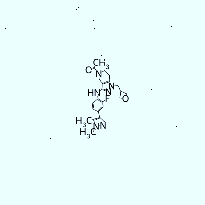 CC(=O)N1CCc2c(c(Nc3ccc(-c4cnn(C)c4C)cc3F)nn2CC2COC2)C1